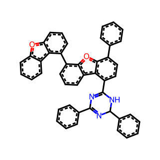 c1ccc(C2=NC(c3ccccc3)NC(c3ccc(-c4ccccc4)c4oc5c(-c6cccc7oc8ccccc8c67)cccc5c34)=N2)cc1